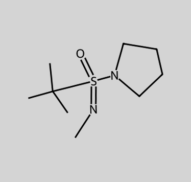 CN=S(=O)(N1CCCC1)C(C)(C)C